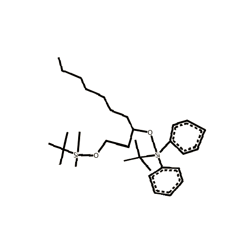 CCCCCCCC(CCO[Si](C)(C)C(C)(C)C)O[Si](c1ccccc1)(c1ccccc1)C(C)(C)C